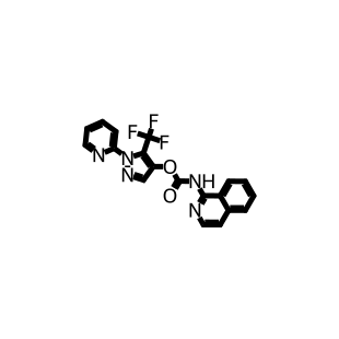 O=C(Nc1nccc2ccccc12)Oc1cnn(-c2ccccn2)c1C(F)(F)F